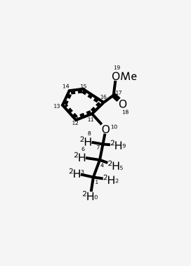 [2H]C([2H])([2H])C([2H])([2H])C([2H])([2H])Oc1ccccc1C(=O)OC